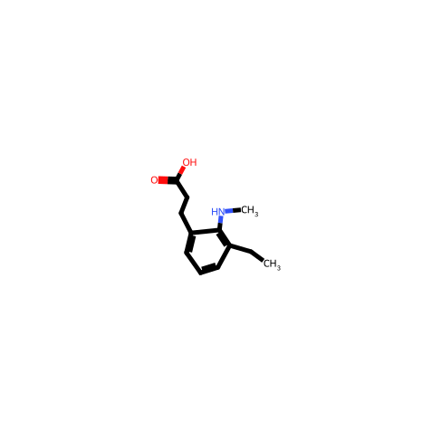 CCc1cccc(CCC(=O)O)c1NC